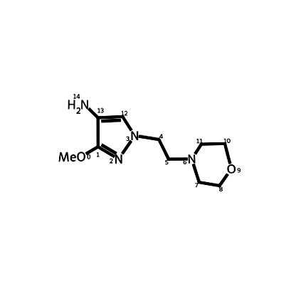 COc1nn(CCN2CCOCC2)cc1N